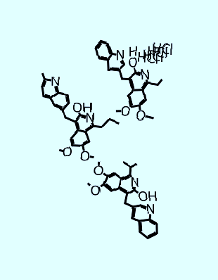 CCCc1nc(O)c(Cc2ccc3nc(C)ccc3c2)c2cc(OC)c(OC)cc12.CCc1nc(O)c(Cc2cnc3ccccc3c2)c2cc(OC)c(OC)cc12.COc1cc2c(C(C)C)nc(O)c(Cc3cnc4ccccc4c3)c2cc1OC.Cl.Cl.Cl.Cl